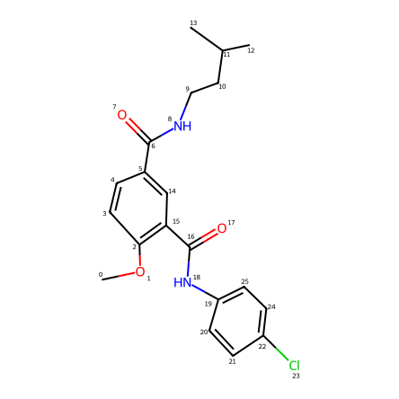 COc1ccc(C(=O)NCCC(C)C)cc1C(=O)Nc1ccc(Cl)cc1